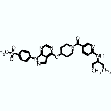 CCC(CC)Nc1ccc(C(=O)N2CCC(Oc3ncnc4c3cnn4-c3ccc(S(C)(=O)=O)cc3)CC2)cn1